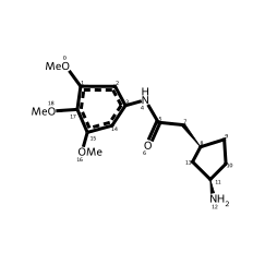 COc1cc(NC(=O)C[C@H]2CC[C@@H](N)C2)cc(OC)c1OC